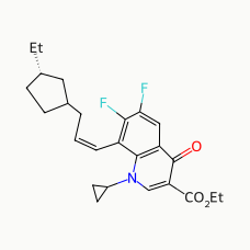 CCOC(=O)c1cn(C2CC2)c2c(/C=C\CC3CC[C@H](CC)C3)c(F)c(F)cc2c1=O